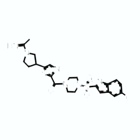 CC(=N)N1CCC(c2cnc(C(=O)N3CCN(S(=O)(=O)c4cc5cc(Cl)ccc5[nH]4)CC3)s2)C1